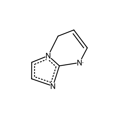 C1=C[N]c2nccn2C1